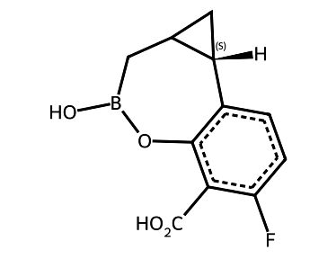 O=C(O)c1c(F)ccc2c1OB(O)CC1C[C@H]21